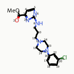 COC(=O)c1ccnc(NCCCN2CCN(c3cccc(Cl)c3)CC2)n1